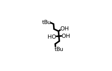 CC(C)(C)CCC(O)C(O)(O)CCC(C)(C)C